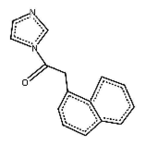 O=C(Cc1cccc2ccccc12)n1ccnc1